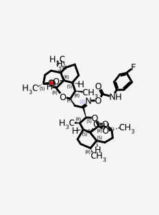 C[C@H]1[C@@H](/C(C[C@H]2O[C@@H]3O[C@]4(C)CC[C@H]5[C@H](C)CC[C@@H]([C@H]2C)[C@@]35OO4)=N\OC(=O)Nc2ccc(F)cc2)O[C@@H]2O[C@]3(C)CC[C@H]4[C@H](C)CC[C@@H]1[C@@]24OO3